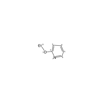 C[CH]Oc1ccccn1